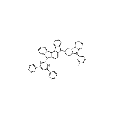 Cc1cc(C)cc(N2C3=CC=C(n4c5ccccc5c5c6c7ccccc7n(-c7nc(-c8ccccc8)cc(-c8ccccc8)n7)c6ccc54)CC3c3ccccc32)c1